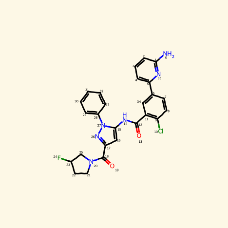 Nc1cccc(-c2ccc(Cl)c(C(=O)Nc3cc(C(=O)N4CCC(F)C4)nn3-c3ccccc3)c2)n1